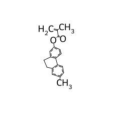 C=C(C)C(=O)Oc1ccc2c(c1)CCc1cc(C)ccc1-2